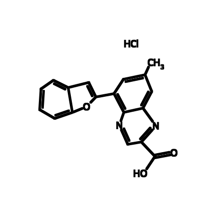 Cc1cc(-c2cc3ccccc3o2)c2ncc(C(=O)O)nc2c1.Cl